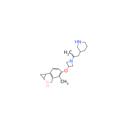 C=C(CC1CCCNC1)N1CC(Oc2ccc3c(c2C)CBC2CC32)C1